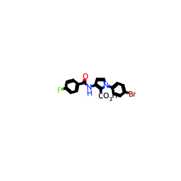 O=C(Nc1ccn(-c2ccc(Br)cc2)c1C(=O)O)c1ccc(F)cc1